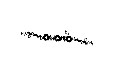 C=CC(=O)OCCCCOc1ccc(NNc2ccc(NNc3ccc(OCCCCOC(=O)C=C)cc3C)cc2)cc1